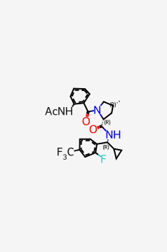 CC(=O)Nc1ccccc1C(=O)N1C[C@H](C)C[C@@H]1C(=O)N[C@@H](c1ccc(C(F)(F)F)cc1F)C1CC1